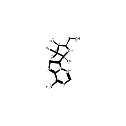 N#C[C@@]1(c2cnc3c(N)ncnn23)O[C@H](CO)[C@H](O)C1(F)Br